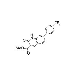 COC(=O)c1cc2ccc(-c3ccc(C(F)(F)F)cc3)cc2[nH]c1=O